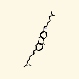 CN(C)CCC/C=C/c1ccc2c(c1)Sc1cc(/C=C/CCCN(C)C)ccc1O2